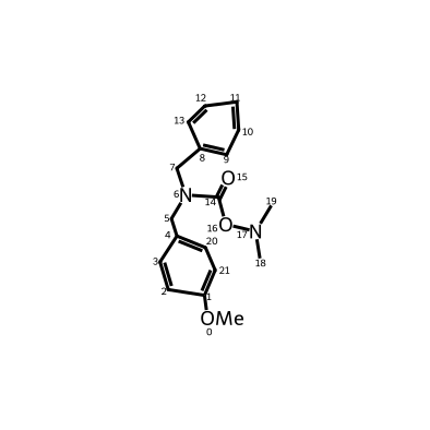 COc1ccc(CN(Cc2ccccc2)C(=O)ON(C)C)cc1